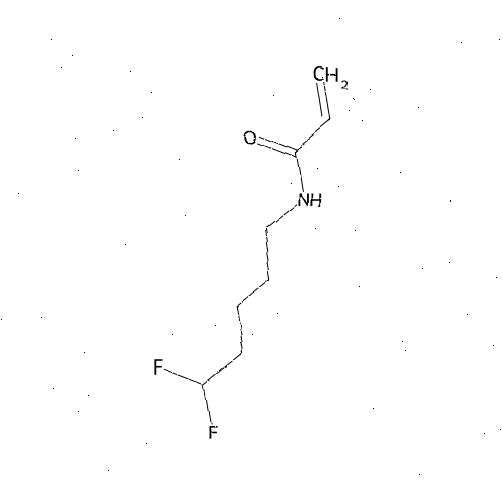 C=CC(=O)NCCCCC(F)F